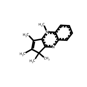 CC1=C(C)C(C)(C)c2nc3ccccc3[n+](C)c21